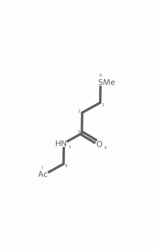 CSCCC(=O)NCC(C)=O